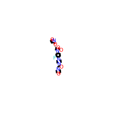 O=C(CN1CCOCC1)N1CCN(c2ccc(N3C[C@H](COc4ccon4)OC3=O)cc2F)CC1